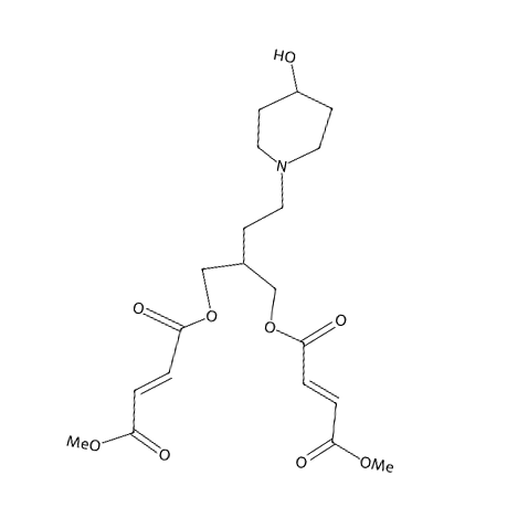 COC(=O)/C=C/C(=O)OCC(CCN1CCC(O)CC1)COC(=O)/C=C/C(=O)OC